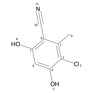 Cc1c(Cl)c(O)cc(O)c1C#N